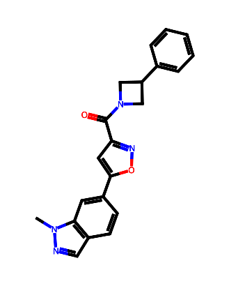 Cn1ncc2ccc(-c3cc(C(=O)N4CC(c5ccccc5)C4)no3)cc21